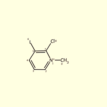 C[n+]1cccc(I)c1Cl